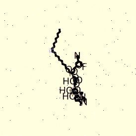 C#C[C@@]1(c2ccc3c(C)ncnn23)O[C@H](COP(=O)(O)OC[C@@H](COCCCCCCCC/C=C\CCCCCCCC)OCc2cc(F)cc(C#N)c2)[C@@H](O)[C@H]1O